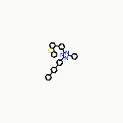 c1ccc(-c2ccc(-c3ccc(-c4nc(-c5ccccc5)nc(-c5cccc(-c6cccc7sc8ccccc8c67)c5)n4)cc3)cc2)cc1